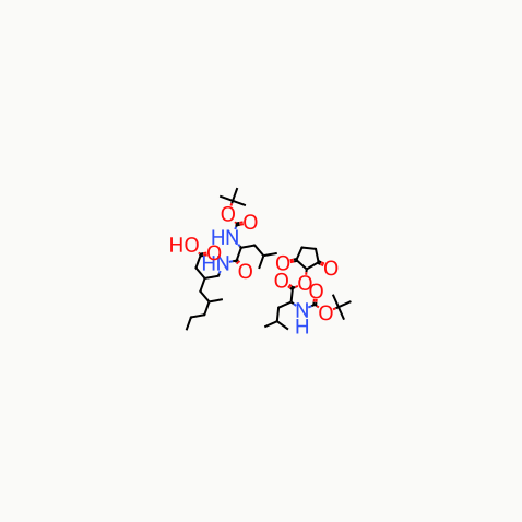 CC(C)CC(NC(=O)OC(C)(C)C)C(=O)OC1C(=O)CCC1=O.CCCC(C)CC(CNC(=O)C(CC(C)C)NC(=O)OC(C)(C)C)CC(=O)O